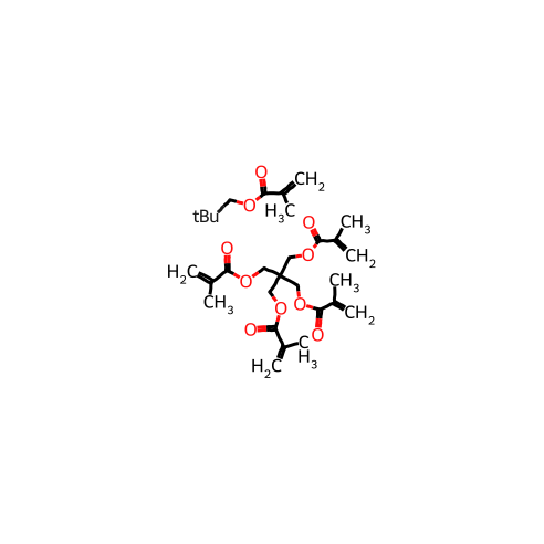 C=C(C)C(=O)OCC(COC(=O)C(=C)C)(COC(=O)C(=C)C)COC(=O)C(=C)C.[CH2]C([CH2])([CH2])COC(=O)C(=C)C